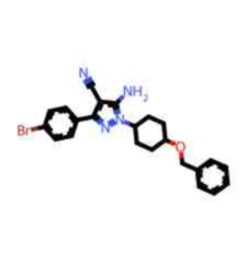 N#Cc1c(-c2ccc(Br)cc2)nn(C2CCC(OCc3ccccc3)CC2)c1N